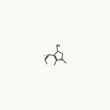 C/C=C\C1=C(C)N(C)CC1C(C)C